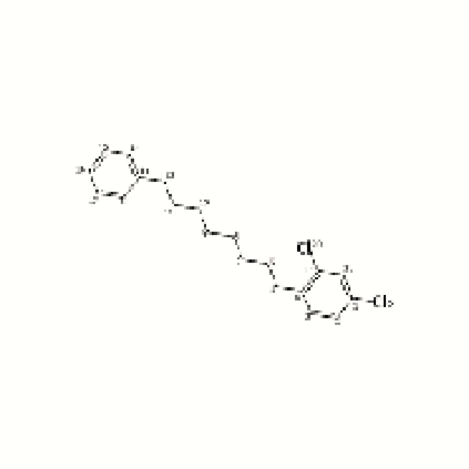 Clc1ccc(CCCCCCCCc2ccccc2)c(Cl)c1